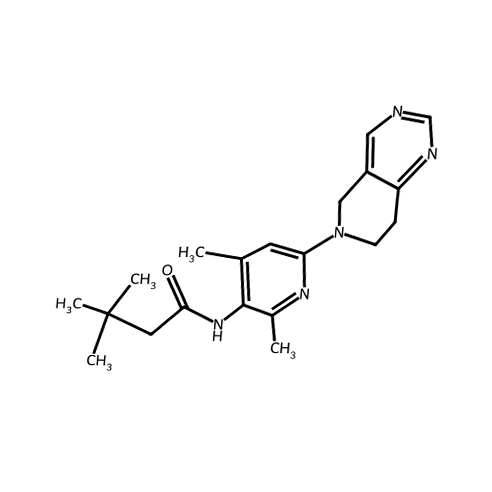 Cc1cc(N2CCc3ncncc3C2)nc(C)c1NC(=O)CC(C)(C)C